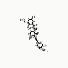 COc1c(CO)cc(Cl)cc1S(=O)(=O)Nc1ccc(F)c(C#Cc2cnc(N)c(C)n2)c1F